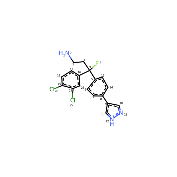 NCCC(F)(c1ccc(-c2cn[nH]c2)cc1)c1ccc(Cl)c(Cl)c1